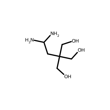 NC(N)CC(CO)(CO)CO